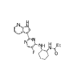 CCC(=O)N[C@H]1CCCC[C@H]1Nc1nc(-c2c[nH]c3ncccc23)ncc1F